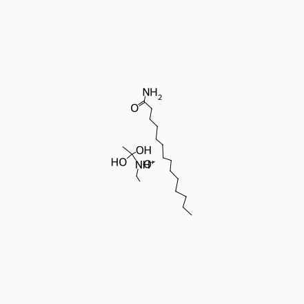 CCCCCCCCCCCCCC(N)=O.CC[NH+]([O-])C(C)(O)O